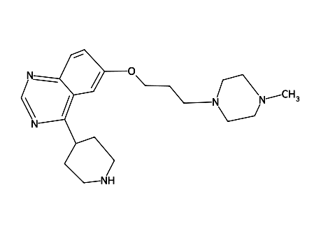 CN1CCN(CCCOc2ccc3ncnc(C4CCNCC4)c3c2)CC1